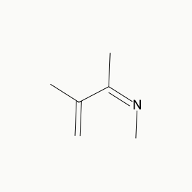 C=C(C)/C(C)=N\C